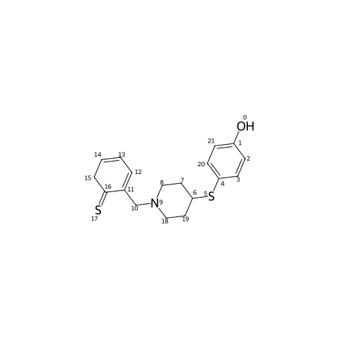 Oc1ccc(SC2CCN(CC3=CC=CCC3=S)CC2)cc1